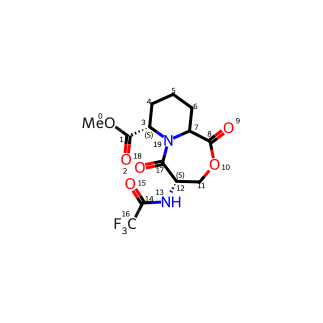 COC(=O)[C@@H]1CCCC2C(=O)OC[C@H](NC(=O)C(F)(F)F)C(=O)N21